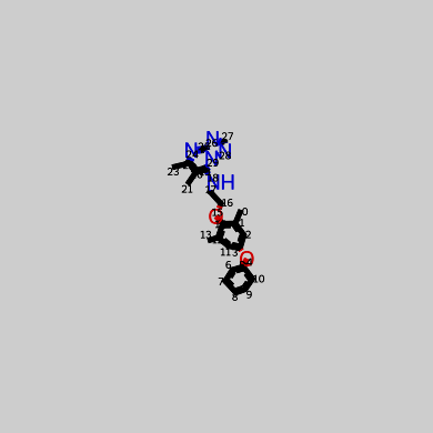 Cc1cc(Oc2ccccc2)cc(C)c1OCCNc1c(C)c(C)nc2ncnn12